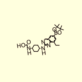 CCc1cc(B2OC(C)(C)C(C)(C)O2)cc2cnc(N[C@H]3CC[C@H](NC(=O)O)CC3)nc12